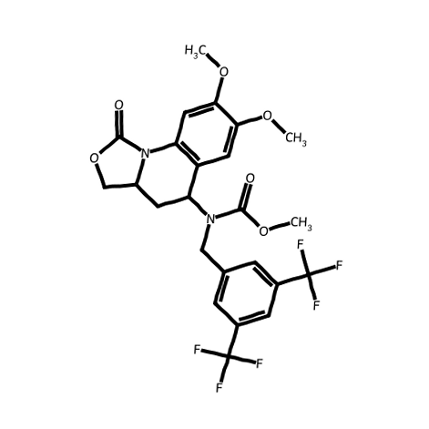 COC(=O)N(Cc1cc(C(F)(F)F)cc(C(F)(F)F)c1)C1CC2COC(=O)N2c2cc(OC)c(OC)cc21